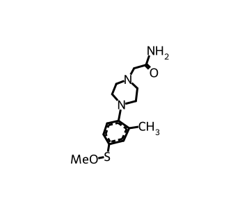 COSc1ccc(N2CCN(CC(N)=O)CC2)c(C)c1